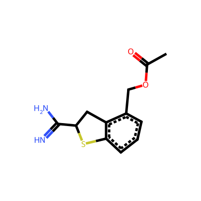 CC(=O)OCc1cccc2c1CC(C(=N)N)S2